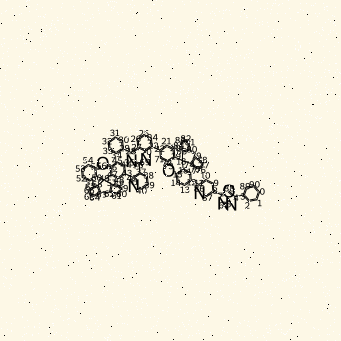 c1ccc(-c2nnc(-c3ccc(-c4ccc5c(c4)C4(c6ccc(-c7cccc8c(-c9ccccc9)nc(-c9cccnc9-c9ccc%10c(c9)C9(c%11ccccc%11O%10)c%10ccccc%10-c%10ccccc%109)nc78)cc6O5)c5ccccc5-c5ccccc54)nc3)o2)cc1